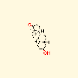 C[C@@]12CC[C@H](O)C[C@H]1CC[C@H]1[C@H]2CC[C@@]2(C)C(=O)CC[C@H]12